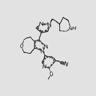 COc1ncc(-n2nc(-c3cnn(CC4CCNCC4)c3)c3c2CCOCC3)cc1C#N